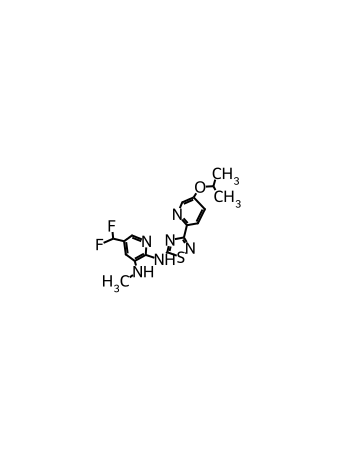 CNc1cc(C(F)F)cnc1Nc1nc(-c2ccc(OC(C)C)cn2)ns1